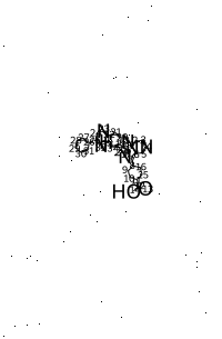 N[N+]12C=CN=CC1=C(C1CCC(C(=O)O)CC1)N=C2c1ccc2ncc(-c3ccccc3)nc2c1